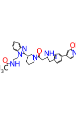 CC(=O)NCCn1c([C@@H]2CCCN(C(=O)C[C@H](N)Cc3ccc(-c4ccnc(O)c4)cc3)C2)nc2ccccc21